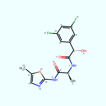 CCC[C@H](NC(=O)[C@@H](O)c1cc(F)cc(F)c1)C(=O)Nc1ncc(C)s1